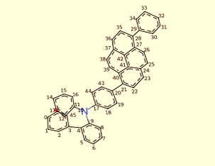 c1ccc(-c2ccccc2N(c2ccccc2)c2ccc(-c3ccc4ccc5c(-c6ccccc6)ccc6ccc3c4c65)cc2)cc1